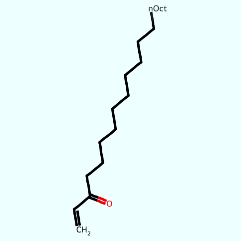 C=CC(=O)CCCCCCCCCCCCCCCCCC